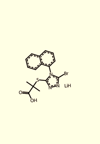 CC(C)(Sc1nnc(Br)n1-c1cccc2ccccc12)C(=O)O.[LiH]